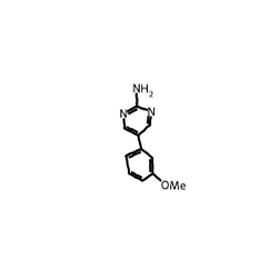 COc1cccc(-c2cnc(N)nc2)c1